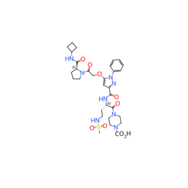 CS(=O)(=O)NCC[C@H](NC(=O)c1cc(OCC(=O)N2CCC[C@H]2C(=O)NC2CCC2)n(-c2ccccc2)n1)C(=O)N1CCN(C(=O)O)CC1